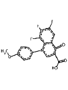 COc1ccc(-n2cc(C(=O)O)c(=O)c3cc(F)c(F)c(F)c32)cc1